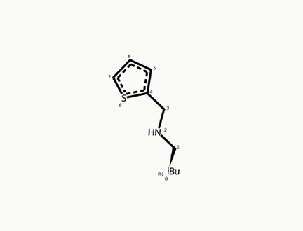 CC[C@H](C)CNCc1cc[c]s1